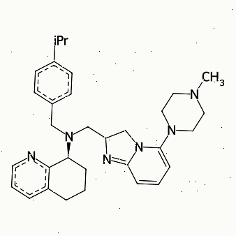 CC(C)c1ccc(CN(CC2CN3C(N4CCN(C)CC4)=CC=CC3=N2)[C@H]2CCCc3cccnc32)cc1